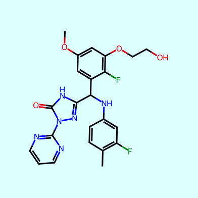 COc1cc(OCCO)c(F)c(C(Nc2ccc(C)c(F)c2)c2nn(-c3ncccn3)c(=O)[nH]2)c1